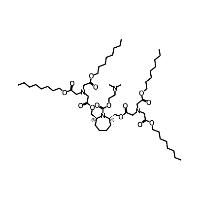 CCCCCCCCOC(=O)CN(CC(=O)OCCCCCCCC)CC(=O)OC[C@@H]1CCCC[C@@H](COC(=O)CN(CC(=O)OCCCCCCCC)CC(=O)OCCCCCCCC)N1C(=O)OCCN(C)C